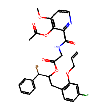 C=CCOc1cc(F)ccc1CC(OC(=O)CNC(=O)c1nccc(OC)c1OC(C)=O)C(S)c1ccccc1